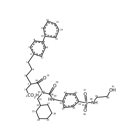 O=C(O)CC(CCCc1ccc(-c2ccccc2)cc1)C(=O)N(CC1CCCCC1)C(=O)Nc1ccc(S(=O)(=O)NCCO)cc1